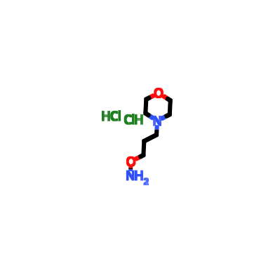 Cl.Cl.NOCCCN1CCOCC1